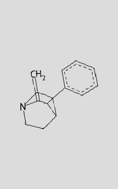 C=C1[C](c2ccccc2)C2CCN1CC2